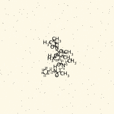 CCCN(CC[C@H](C)C(=O)NCCc1ccccc1)C(=O)C[C@H](CC)C([C@H](C)CC)N(C)C(=O)CNC(=O)CC(C)C